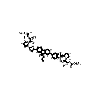 C=CCC1(F)c2cc(-c3ccc4[nH]c(C5CCCN5C(=O)[C@@H](NC(=O)OC)C(C)C)nc4c3)ccc2-c2ccc(-c3c[nH]c([C@@H]4C=CCN4C(=O)[C@@H](NC(=O)OC)C(C)C)n3)cc21